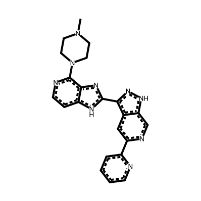 CN1CCN(c2nccc3[nH]c(-c4n[nH]c5cnc(-c6ccccn6)cc45)nc23)CC1